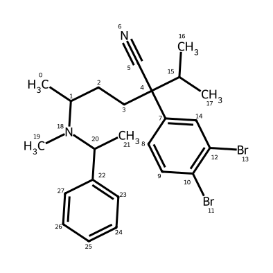 CC(CCC(C#N)(c1ccc(Br)c(Br)c1)C(C)C)N(C)C(C)c1ccccc1